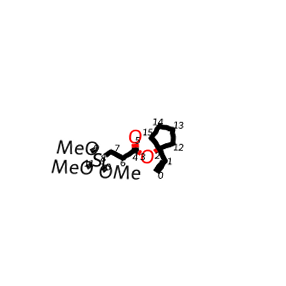 C=CC1(OC(=O)CC[Si](OC)(OC)OC)CCCC1